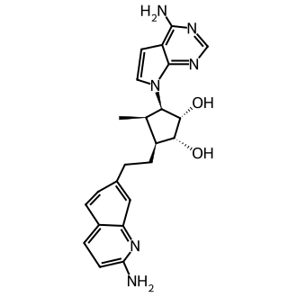 C[C@@H]1[C@H](CCc2ccc3ccc(N)nc3c2)[C@@H](O)[C@@H](O)[C@@H]1n1ccc2c(N)ncnc21